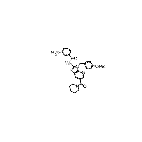 COc1ccc(Cn2c(NC(=O)c3cccc(N)c3)nc3cc(C(=O)N4CCCCC4)cnc32)cc1